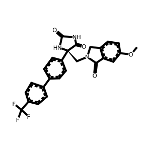 COc1ccc2c(c1)C(=O)N(C[C@@]1(c3ccc(-c4ccc(C(F)(F)F)cc4)cc3)NC(=O)NC1=O)C2